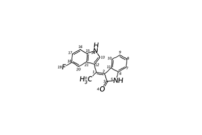 CC(=C1C(=O)Nc2ccccc21)c1c[nH]c2ccc(F)cc12